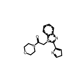 O=C(Cn1c(C2=CCC=N2)nc2ccccc21)N1CCOCC1